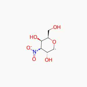 O=[N+]([O-])[C@H]1[C@@H](O)[C@@H](CO)O[CH][C@@H]1O